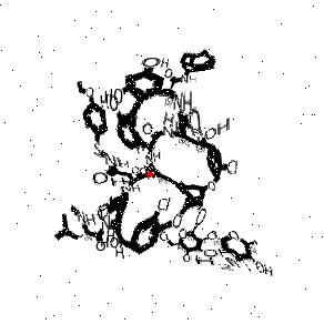 CCOc1ccc(SNC(=O)C[C@@H]2NC(=O)[C@H](NC(=O)[C@H](CC(C)C)NC)[C@H](O)c3ccc(c(Cl)c3)Oc3cc4cc(c3O[C@@H]3O[C@H](CO)[C@H](O)[C@H](O)[C@@H]3O[C@H]3C[C@](C)(N)[C@H](O)[C@H](C)O3)Oc3ccc(cc3Cl)[C@H](O)[C@H]3NC(=O)[C@@H](NC(=O)[C@@H]4NC2=O)c2ccc(O)c(c2)-c2c(O)cc(O)cc2[C@@H](C(=O)NC2C4CC5CC(C4)CC2C5)NC3=O)cc1